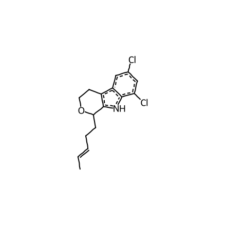 C/C=C/CCC1OCCc2c1[nH]c1c(Cl)cc(Cl)cc21